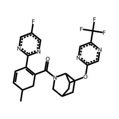 CC1C=CC(c2ncc(F)cn2)=C(C(=O)N2CC3CCC2C(Oc2cnc(C(F)(F)F)cn2)C3)C1